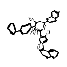 CCC1=C(c2ccc(-c3ccccc3)cc2)NC(c2cc3oc4ccc5ccccc5c4c3cc2Cl)N=C(c2ccc3ccccc3c2)C1